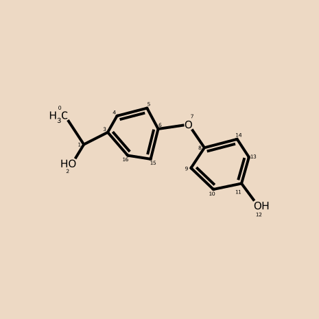 CC(O)c1ccc(Oc2ccc(O)cc2)cc1